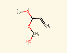 C=CC(OCC)O[SiH2]O